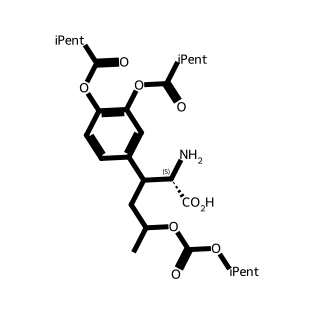 CCCC(C)OC(=O)OC(C)CC(c1ccc(OC(=O)C(C)CCC)c(OC(=O)C(C)CCC)c1)[C@H](N)C(=O)O